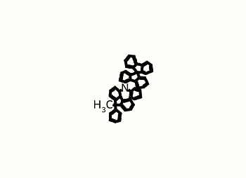 CC1(c2ccccc2)C2=CC=CC(N(c3ccccc3)c3cccc4c3-c3ccccc3C43c4ccccc4-c4ccccc43)C2c2ccccc21